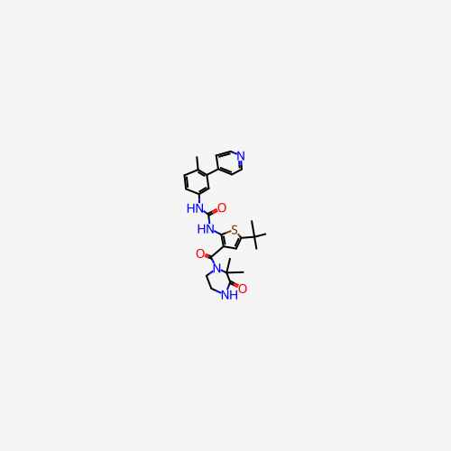 Cc1ccc(NC(=O)Nc2sc(C(C)(C)C)cc2C(=O)N2CCNC(=O)C2(C)C)cc1-c1ccncc1